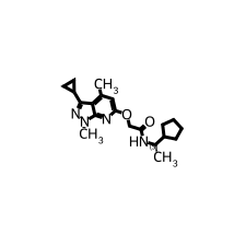 Cc1cc(OCC(=O)N[C@@H](C)C2CCCC2)nc2c1c(C1CC1)nn2C